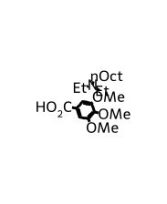 CCCCCCCCN(CC)CC.COc1cc(C(=O)O)cc(OC)c1OC